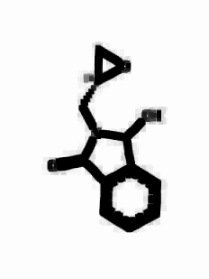 O=C1c2ccccc2C(O)N1C[C@@H]1CO1